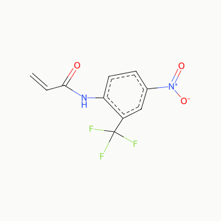 C=CC(=O)Nc1ccc([N+](=O)[O-])cc1C(F)(F)F